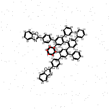 c1ccc(-c2cc(-c3ccc(-c4ccccn4)nc3-c3cc(-c4ccccc4)c(-c4ccc(-c5nc6ccccc6o5)cc4)cc3-c3ccccc3)c(-c3ccccc3)cc2-c2ccc(-c3nc4ccccc4o3)cc2)cc1